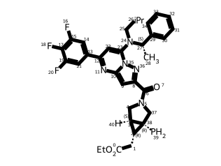 CCOC(=O)C[C@@H]1[C@H]2CN(C(=O)c3cc4nc(-c5cc(F)c(F)c(F)c5)cc(N(CC(C)C)[C@@H](C)c5ccccc5)n4n3)C[C@@]12P